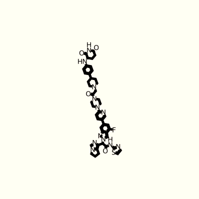 O=C1CCC(Nc2ccc(C3CCN(CC(=O)N4CCN(c5ccc(-c6cc(F)c7cn(C(C(=O)Nc8nccs8)c8ncn9c8CCC9)nc7c6)cn5)CC4)CC3)cc2)C(=O)N1